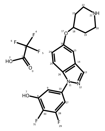 O=C(O)C(F)(F)F.Oc1cc(-n2ncc3cc(OC4CCNCC4)ccc32)cc(F)c1F